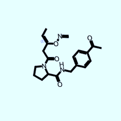 C=NO/C(=C\C)CC(=O)N1CCCC1C(=O)NCc1ccc(C(C)=O)cc1